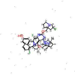 C=C(CC)c1c(F)ccc2cc(O)cc(-c3nc4c5c(nc(OC[C@@]67CCCN6C[C@@H](F)C7)nc5c3F)N3C[C@@H]5CC[C@@H](N5)[C@@H]3CO4)c12